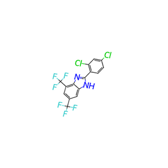 FC(F)(F)c1cc(C(F)(F)F)c2nc(-c3ccc(Cl)cc3Cl)[nH]c2c1